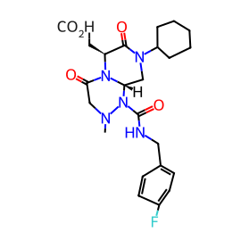 CN1CC(=O)N2[C@@H](CC(=O)O)C(=O)N(C3CCCCC3)C[C@@H]2N1C(=O)NCc1ccc(F)cc1